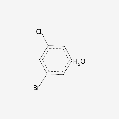 Clc1cccc(Br)c1.O